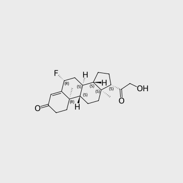 C[C@]12CC[C@H]3[C@@H](C[C@@H](F)C4=CC(=O)CC[C@@]43C)[C@@H]1CC[C@@H]2C(=O)CO